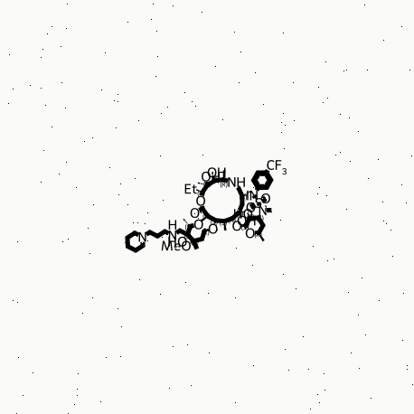 CC[C@H]1OC(=O)[C@H](C)[C@@H](O[C@H]2C[C@@](C)(OC)[C@](O)(CNCCCN3CCCCC3)[C@H](C)O2)[C@H](C)[C@@H](O[C@@H]2O[C@H](C)C[C@H](N(C)S(=O)(=O)Nc3ccc(C(F)(F)F)cc3)[C@H]2O)[C@](C)(O)C[C@@H](C)CN[C@H](C)[C@@H](O)[C@]1(C)O